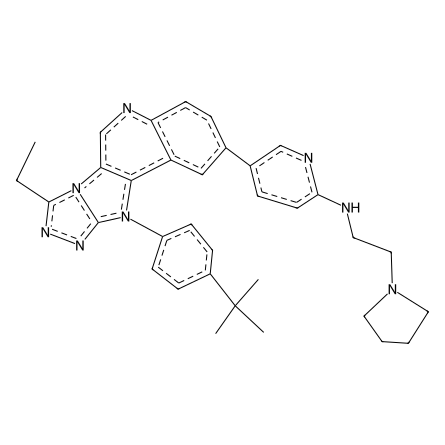 CCc1nnc2n(-c3ccc(C(C)(C)C)cc3)c3c4cc(-c5ccc(NCCN6CCCC6)nc5)ccc4ncc3n12